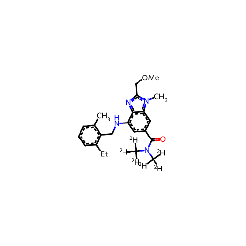 [2H]C([2H])([2H])N(C(=O)c1cc(NCc2c(C)cccc2CC)c2nc(COC)n(C)c2c1)C([2H])([2H])[2H]